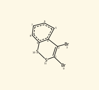 BrC1=C(Br)c2ccccc2SS1